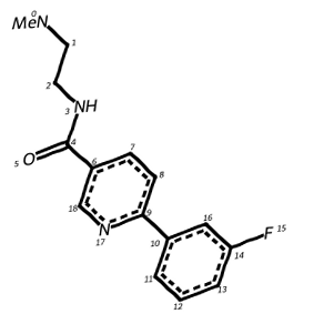 CNCCNC(=O)c1ccc(-c2cccc(F)c2)nc1